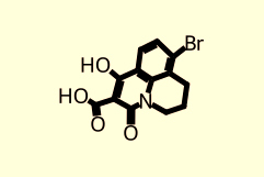 O=C(O)c1c(O)c2ccc(Br)c3c2n(c1=O)CCC3